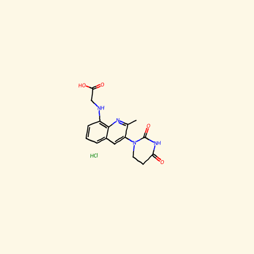 Cc1nc2c(NCC(=O)O)cccc2cc1N1CCC(=O)NC1=O.Cl